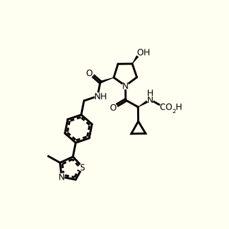 Cc1ncsc1-c1ccc(CNC(=O)[C@H]2C[C@@H](O)CN2C(=O)[C@@H](NC(=O)O)C2CC2)cc1